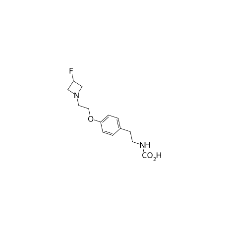 O=C(O)NCCc1ccc(OCCN2CC(F)C2)cc1